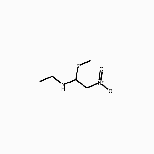 CCNC(C[N+](=O)[O-])SC